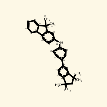 CC1(C)CC(C)(C)c2cc(-c3ccc(Nc4ccc5c(c4)C(C)(C)C4=CC=CCC45)cc3)ccc21